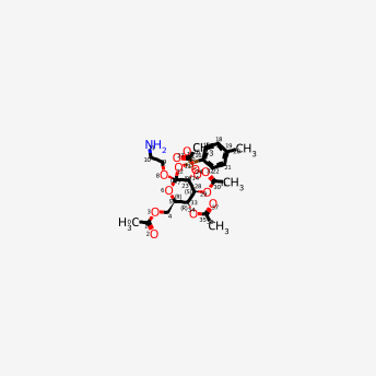 CC(=O)OC[C@H]1O[C@](OCCN)(OS(=O)(=O)c2ccc(C)cc2)[C@H](OC(C)=O)[C@@H](OC(C)=O)[C@@H]1OC(C)=O